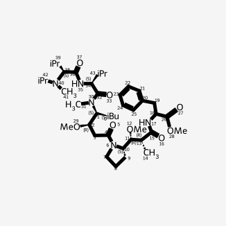 CC[C@H](C)[C@@H]([C@@H](CC(=O)N1CCC[C@H]1[C@H](OC)[C@@H](C)C(=O)NC(Cc1ccccc1)C(=O)OC)OC)N(C)C(=O)[C@@H](NC(=O)[C@H](C(C)C)N(C)C(C)C)C(C)C